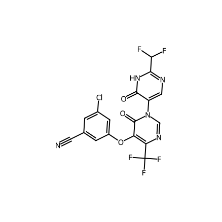 N#Cc1cc(Cl)cc(Oc2c(C(F)(F)F)ncn(-c3cnc(C(F)F)[nH]c3=O)c2=O)c1